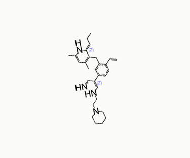 C=Cc1ccc(/C(C=N)=C/NCCN2CCCCC2)cc1CC1=C(C)C=C(C)N/C1=C\CC